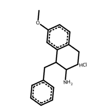 COc1ccc2c(c1)C(Cc1ccccc1)C(N)CC2.Cl